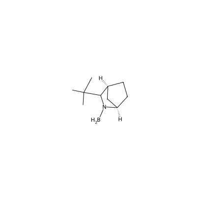 BN1C(C(C)(C)C)[C@H]2CC[C@@H]1C2